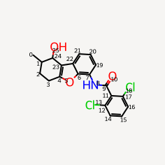 CC1CCc2oc3c(NC(=O)c4c(Cl)cccc4Cl)cccc3c2C1O